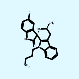 C[C@H]1Cc2c(n(CCCN)c3ccccc23)[C@@]2(N1)C(=O)Nc1ccc(Cl)cc12